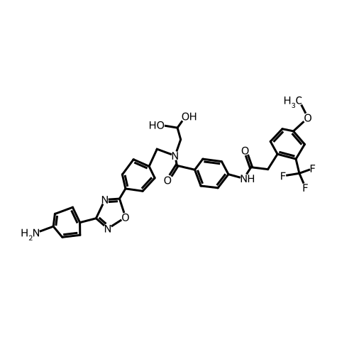 COc1ccc(CC(=O)Nc2ccc(C(=O)N(Cc3ccc(-c4nc(-c5ccc(N)cc5)no4)cc3)CC(O)O)cc2)c(C(F)(F)F)c1